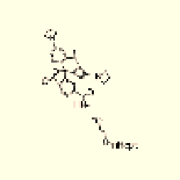 CCCCCCCOCCOCCNC(=O)c1ccc2c(c1)C1(OC2=O)c2ccc(N3CCC3)cc2C(C)(C)c2cc(N3CCC3)ccc21